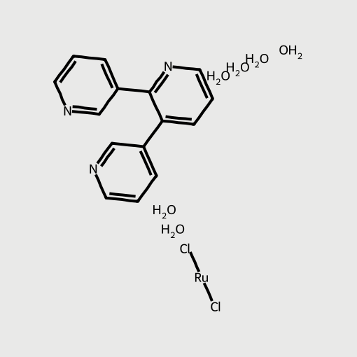 O.O.O.O.O.O.[Cl][Ru][Cl].c1cncc(-c2cccnc2-c2cccnc2)c1